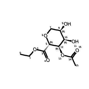 CCOC(=O)[C@@H]1OC[C@@H](O)[C@@H](O)[C@H]1OC(C)=O